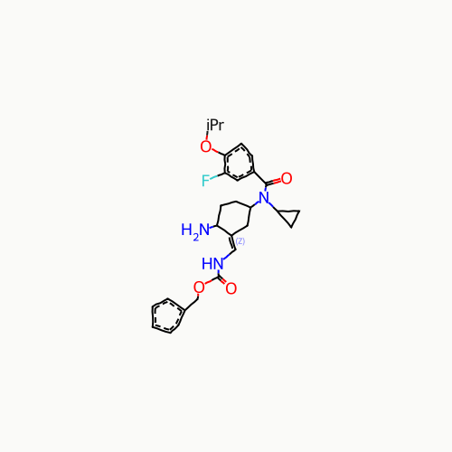 CC(C)Oc1ccc(C(=O)N(C2CC2)C2CCC(N)/C(=C\NC(=O)OCc3ccccc3)C2)cc1F